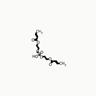 CC=CC(=O)OCCOP(=O)(O)OCCOC(=O)C=CC